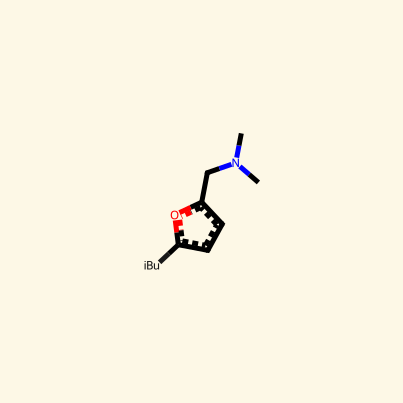 CCC(C)c1ccc(CN(C)C)o1